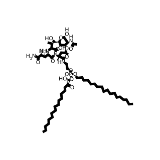 CCCCCCCCCCCCCCCCCCOP(=O)(OCCNC(=O)[C@@](C)(CC(C)O[C@@H]1[C@H](O)[C@@H](CO)O[C@H](O)[C@@H]1NC(C)=O)N(C(=O)CC[C@@H](N)C(N)=O)C(=O)C(N)CC)ON(O)C(=O)CCCCCCCCCCCCCCC